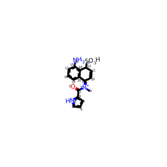 C[N+](C(=O)c1ccc[nH]1)=C1C=CC(S(=O)(=O)O)c2c(N)cccc21